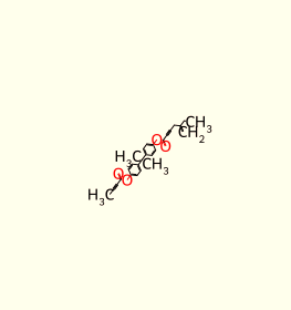 C=C(CC)CC#CC(=O)Oc1ccc(C(C)(C)c2ccc(OC(=O)C#CC)cc2)cc1